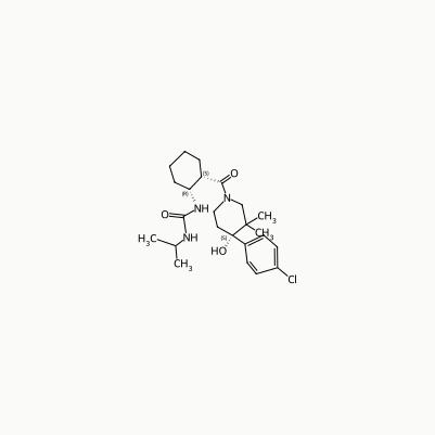 CC(C)NC(=O)N[C@@H]1CCCC[C@@H]1C(=O)N1CC[C@](O)(c2ccc(Cl)cc2)C(C)(C)C1